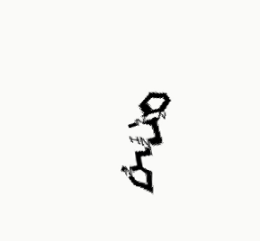 CN1CCCC1CCNCc1nc2ccccc2n1C